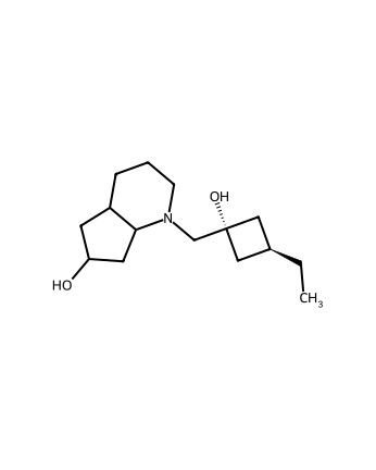 CC[C@H]1C[C@@](O)(CN2CCCC3CC(O)CC32)C1